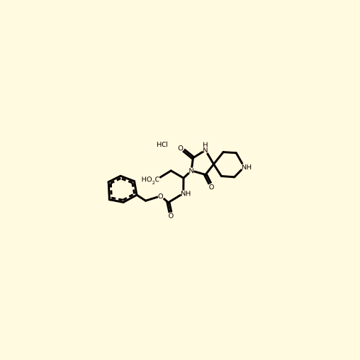 Cl.O=C(O)CC(NC(=O)OCc1ccccc1)N1C(=O)NC2(CCNCC2)C1=O